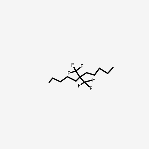 CCCCCC(CCCCC)(C(F)(F)F)C(F)(F)F